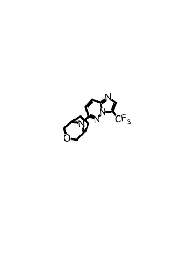 FC(F)(F)c1cnc2ccc(N3C4CCC3COC4)nn12